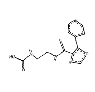 O=C(O)NCCNC(=O)c1ncoc1-c1ccccc1